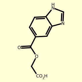 O=C(O)COC(=O)c1ccc2[nH]cnc2c1